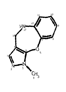 Cn1ncc2c1Oc1ccccc1NC2